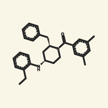 CCc1ccccc1N[C@H]1CCN(C(=O)c2cc(C)cc(C)c2)[C@@H](Cc2ccccc2)C1